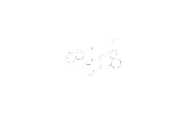 CC(C)Oc1nn2ccccc2c1/N=C1\N/C(=N/c2c(OC(C)C)nn3ccccc23)C(N)=CC1=N